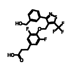 O=C(O)CCc1cc(F)c(OCc2c(-c3cccc(CO)c3)nsc2C(F)(F)F)c(F)c1